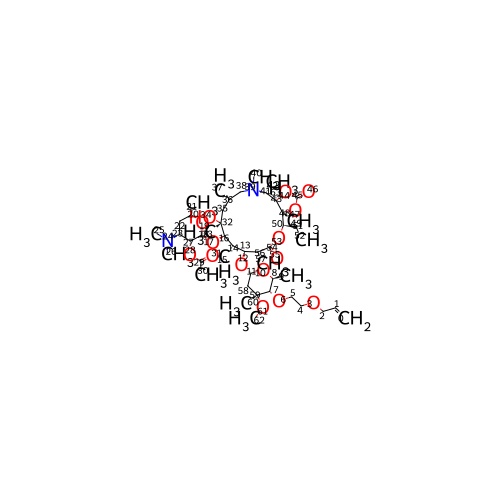 C=CCOCCO[C@H]1[C@H](C)O[C@@H](O[C@H]2[C@H](C)[C@@H](O[C@@H]3O[C@H](C)C[C@H](N(C)C)[C@H]3OC(C)=O)[C@](C)(O)C[C@@H](C)CN(C)[C@H](C)[C@H]3OC(=O)O[C@]3(C)[C@@H](CC)OC(=O)[C@@H]2C)C[C@@]1(C)OC